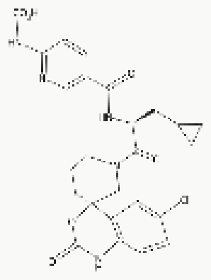 O=C(O)Nc1ccc(C(=O)N[C@@H](CC2CC2)C(=O)N2CCC[C@@]3(C2)OC(=O)Nc2ccc(Cl)cc23)cn1